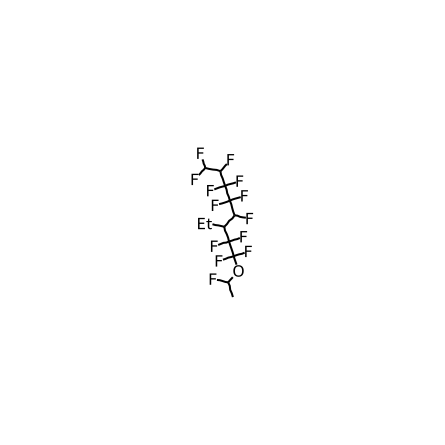 CCC(C(F)C(F)(F)C(F)(F)C(F)C(F)F)C(F)(F)C(F)(F)OC(C)F